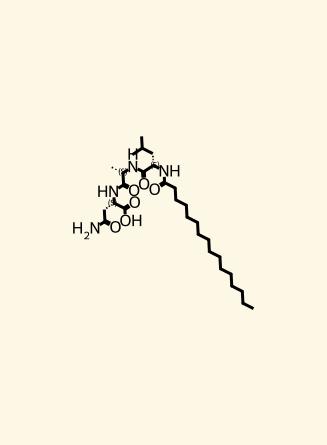 CCCCCCCCCCCCCCCC(=O)N[C@@H](CC(C)C)C(=O)N[C@@H](C)C(=O)N[C@@H](CC(N)=O)C(=O)O